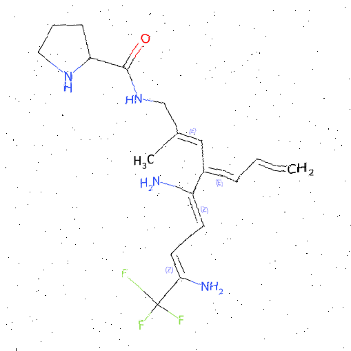 C=C/C=C(\C=C(/C)CNC(=O)C1CCCN1)C(/N)=C/C=C(\N)C(F)(F)F